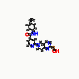 CC(C)c1ccc(NC(=O)c2ccnc(N3CCc4nc(SO)ncc4C3)c2)cc1